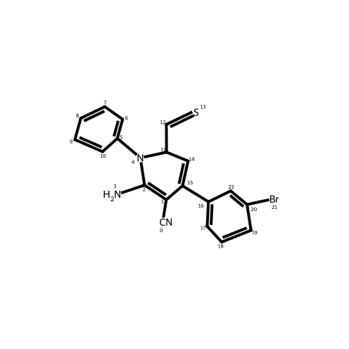 N#CC1=C(N)N(c2ccccc2)C(C=S)C=C1c1cccc(Br)c1